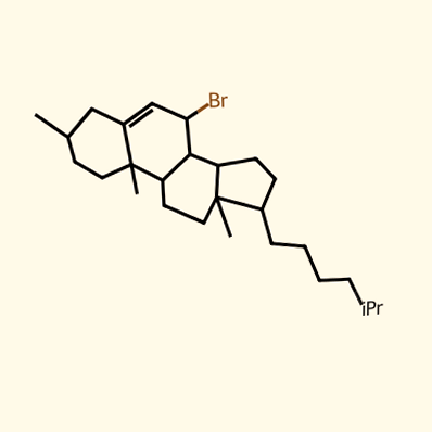 CC(C)CCCCC1CCC2C3C(Br)C=C4CC(C)CCC4(C)C3CCC12C